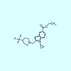 CCOC(=O)c1ccc2c(c1)cc(CN1CCC(C(F)(F)F)CC1)n2C1CC1